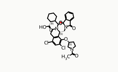 CC(=O)N1CC[C@H](Oc2c(Cl)cc(Cl)c3c2[C@@H](CN2C(=O)c4ccccc4C2=O)N(C(=O)C2CCCC[C@H]2C(=O)O)CC3)C1